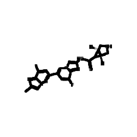 Cc1cn2nc(-c3cc(F)c4nc(NC(=O)C5[C@H]6CNC[C@@H]56)cn4c3)cc(C)c2n1